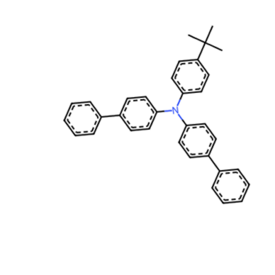 CC(C)(C)c1ccc(N(c2ccc(-c3ccccc3)cc2)c2ccc(-c3ccccc3)cc2)cc1